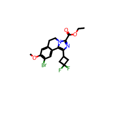 CCOC(=O)c1nc(C2CC(F)(F)C2)c2n1CCc1cc(OC)c(Br)cc1-2